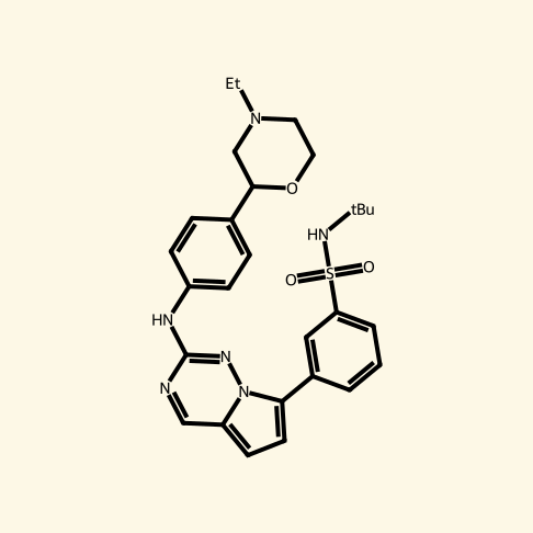 CCN1CCOC(c2ccc(Nc3ncc4ccc(-c5cccc(S(=O)(=O)NC(C)(C)C)c5)n4n3)cc2)C1